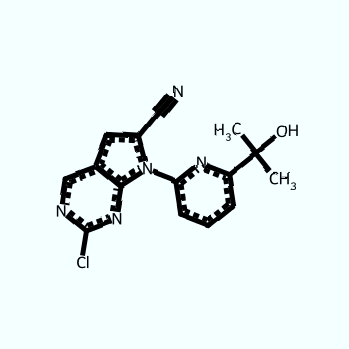 CC(C)(O)c1cccc(-n2c(C#N)cc3cnc(Cl)nc32)n1